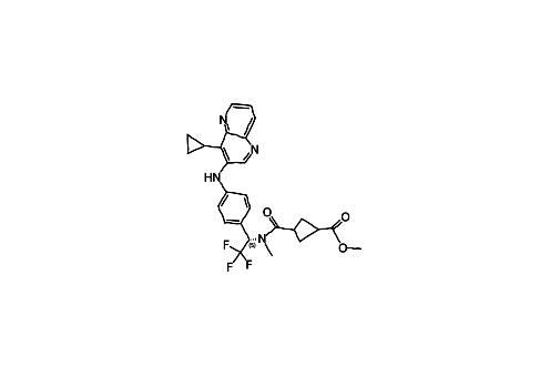 COC(=O)C1CC(C(=O)N(C)[C@@H](c2ccc(Nc3cnc4cccnc4c3C3CC3)cc2)C(F)(F)F)C1